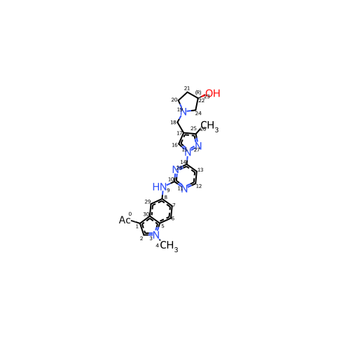 CC(=O)c1cn(C)c2ccc(Nc3nccc(-n4cc(CN5CC[C@@H](O)C5)c(C)n4)n3)cc12